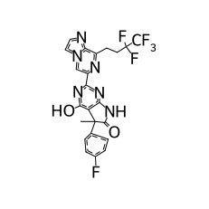 CC1(c2ccc(F)cc2)C(=O)Nc2nc(-c3cn4ccnc4c(CCC(F)(F)C(F)(F)F)n3)nc(O)c21